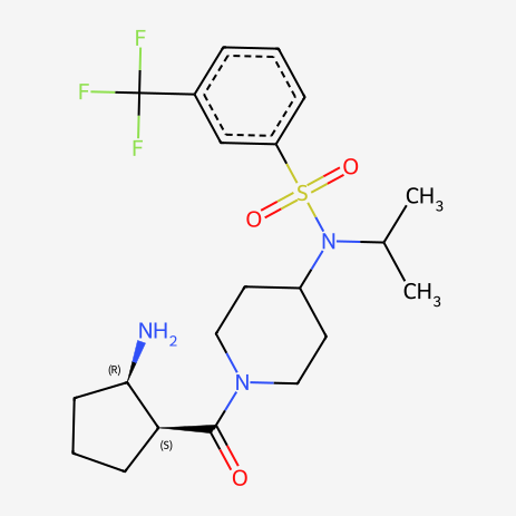 CC(C)N(C1CCN(C(=O)[C@H]2CCC[C@H]2N)CC1)S(=O)(=O)c1cccc(C(F)(F)F)c1